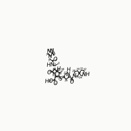 CC(NC(=O)Cn1cnnn1)[C@H]1C(=O)N2C(C(=O)O)=C(S[C@@H]3CN[C@H](C(=O)N4CCC5(CCNC5)C4)C3)[C@H](C)[C@H]12